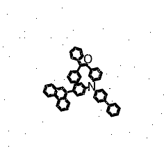 c1ccc(-c2ccc(N(c3ccc(-c4cc5ccccc5c5ccccc45)cc3)c3cccc(-c4oc5ccccc5c4-c4ccccc4)c3)cc2)cc1